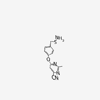 Cc1nc(C#N)cc(Oc2ccc(CSN)cc2)n1